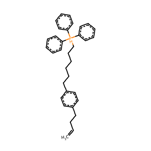 C=CCCc1ccc(CCCCCC[PH](c2ccccc2)(c2ccccc2)c2ccccc2)cc1